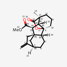 C=C1C[C@]23C[C@H]1CC[C@H]2[C@@]12CCC[C@](C)(C(=O)O1)[C@H]2[C@@H]3C(=O)OC